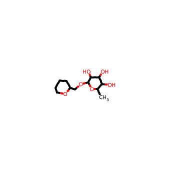 CC1OC(OCC2CCCCO2)C(O)C(O)C1O